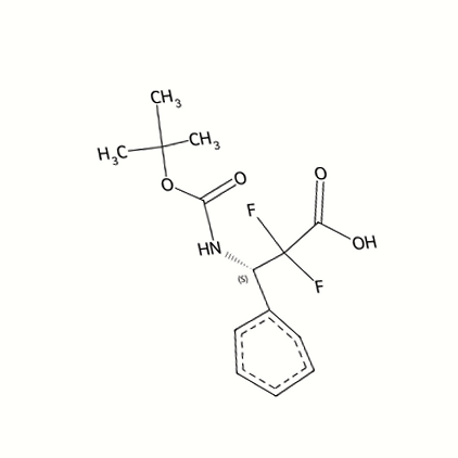 CC(C)(C)OC(=O)N[C@@H](c1ccccc1)C(F)(F)C(=O)O